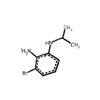 CC(C)Nc1cccc(Br)c1N